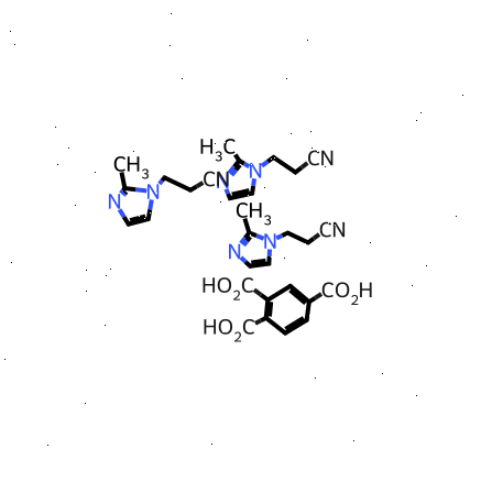 Cc1nccn1CCC#N.Cc1nccn1CCC#N.Cc1nccn1CCC#N.O=C(O)c1ccc(C(=O)O)c(C(=O)O)c1